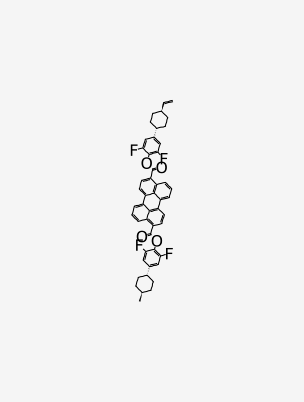 C=C[C@H]1CC[C@H](c2cc(F)c(OC(=O)c3ccc4c5cccc6c(C(=O)Oc7c(F)cc([C@H]8CC[C@H](C)CC8)cc7F)ccc(c7cccc3c74)c65)c(F)c2)CC1